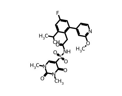 COc1cc(-c2cc(F)cc(C(C)C)c2CC(=O)NS(=O)(=O)c2cn(C)c(=O)n(C)c2=O)ccn1